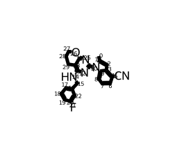 Cc1cc2c(C#N)cccc2n1-c1nc(NCc2cccc(F)c2)c2c(n1)OCCC2